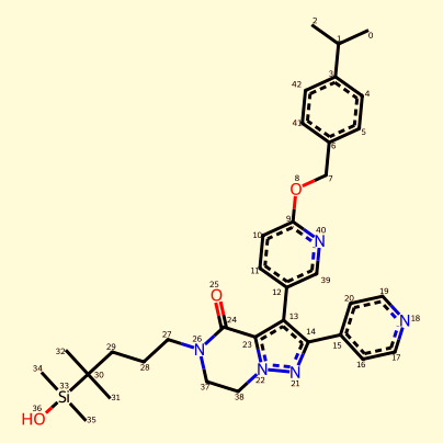 CC(C)c1ccc(COc2ccc(-c3c(-c4ccncc4)nn4c3C(=O)N(CCCC(C)(C)[Si](C)(C)O)CC4)cn2)cc1